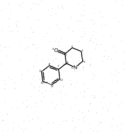 O=C1CCC[N]C1c1ccccc1